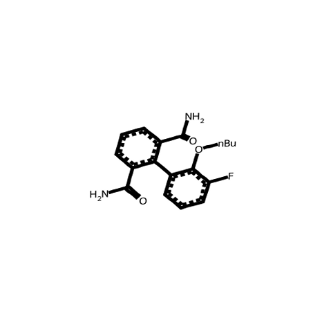 CCCCOc1c(F)cccc1-c1c(C(N)=O)cccc1C(N)=O